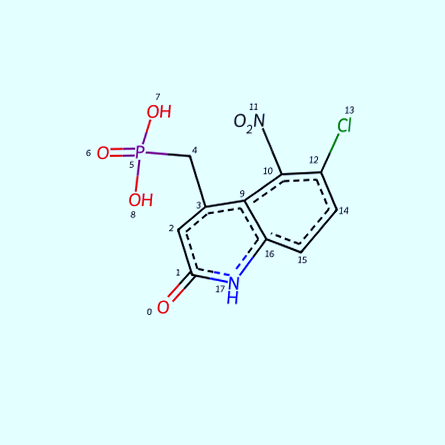 O=c1cc(CP(=O)(O)O)c2c([N+](=O)[O-])c(Cl)ccc2[nH]1